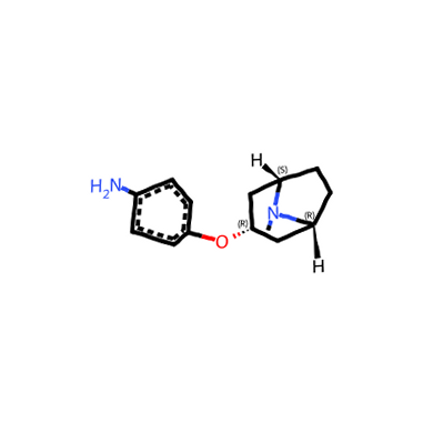 CN1[C@@H]2CC[C@H]1C[C@@H](Oc1ccc(N)cc1)C2